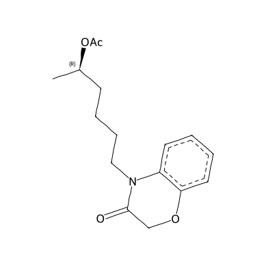 CC(=O)O[C@H](C)CCCCN1C(=O)COc2ccccc21